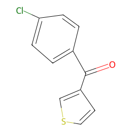 O=C(c1ccc(Cl)cc1)c1ccsc1